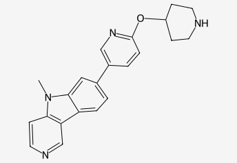 Cn1c2ccncc2c2ccc(-c3ccc(OC4CCNCC4)nc3)cc21